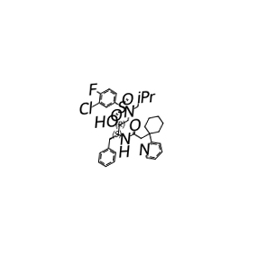 CC(C)CN(C[C@@H](O)[C@H](Cc1ccccc1)NC(=O)CC1(c2ccccn2)CCCCC1)S(=O)(=O)c1ccc(F)c(Cl)c1